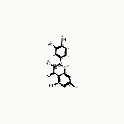 O=C1c2c(O)cc(O)cc2O[C@H](c2ccc(O)c(O)c2)[C@@H]1O